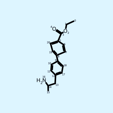 CCOC(=O)c1ccc(-c2ccc(CC(C)N)cc2)cc1